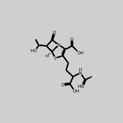 CC(=N)NC(CCC1=C(C(=O)O)N2C(=O)C(C(C)O)[C@@H]2S1)C(=O)O